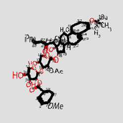 COc1ccc(C(=O)OC2C(OC3C(O)COC(O[C@H]4C[C@H]5[C@@H]6CC=C7C[C@@H](O[Si](C)(C)C(C)(C)C)CC[C@]7(C)C6CC[C@]5(C)[C@@]4(O)[C@H](C)C(=O)CCC(C)C)C3OC(C)=O)OCC(O)C2O)cc1